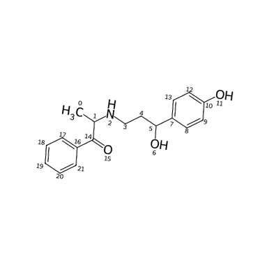 CC(NCCC(O)c1ccc(O)cc1)C(=O)c1ccccc1